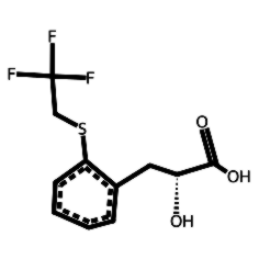 O=C(O)[C@H](O)Cc1ccccc1SCC(F)(F)F